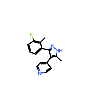 Cc1[nH]nc(-c2cccc(F)c2C)c1-c1ccncc1